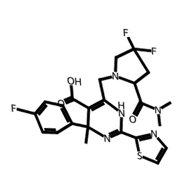 CN(C)C(=O)C1CC(F)(F)CN1CC1=C(C(=O)O)C(C)(c2ccc(F)cc2)N=C(c2nccs2)N1